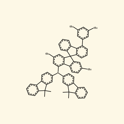 CC(C)(C)c1cc(-c2cccc3c2-c2ccccc2C32c3cc(C(C)(C)C)ccc3-c3c(N(c4ccc5c(c4)C(C)(C)c4ccccc4-5)c4ccc5c(c4)C(C)(C)c4ccccc4-5)cc(C(C)(C)C)cc32)cc(C(C)(C)C)c1